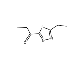 CCC(=O)c1nnc(CC)s1